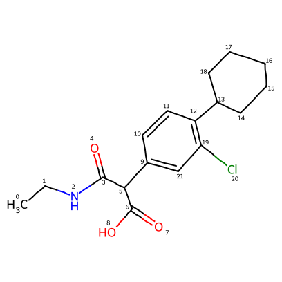 CCNC(=O)C(C(=O)O)c1ccc(C2CCCCC2)c(Cl)c1